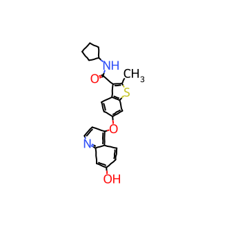 Cc1sc2cc(Oc3ccnc4cc(O)ccc34)ccc2c1C(=O)NC1CCCC1